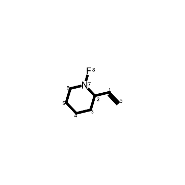 C=CC1CCCCN1F